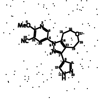 COc1ncc(-n2nc(-c3cn[nH]c3)c3c2CCOCC3)cc1C#N